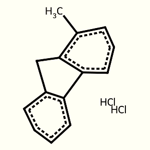 Cc1cccc2c1Cc1ccccc1-2.Cl.Cl